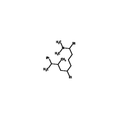 CCC(CCCC(CC)N(C)C)CC(C)C(C)C(C)C